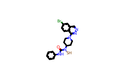 O=C(Nc1ccccc1)N(S)C1CCN(c2nncc3cc(Br)ccc23)CC1